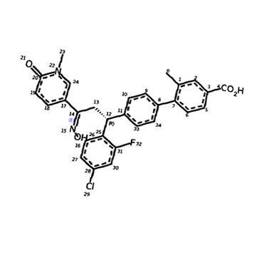 Cc1cc(C(=O)O)ccc1-c1ccc([C@@H](C/C(=N\O)c2ccc(=O)n(C)c2)c2ccc(Cl)cc2F)cc1